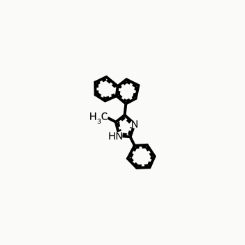 Cc1[nH]c(-c2ccccc2)nc1-c1cccc2ccccc12